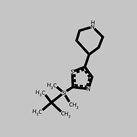 CC(C)(C)[Si](C)(C)c1ncc(C2CCNCC2)s1